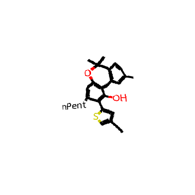 CCCCCc1cc2c(c(O)c1-c1cc(C)cs1)-c1cc(C)ccc1C(C)(C)O2